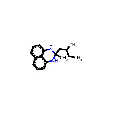 CCC(C)CC1(C)Nc2cccc3cccc(c23)N1